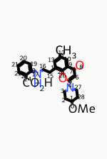 COC1CCN(c2cc(=O)c3cc(C)cc(CCNc4ccccc4C(=O)O)c3o2)CC1